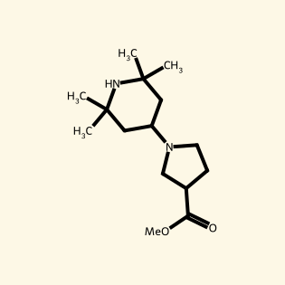 COC(=O)C1CCN(C2CC(C)(C)NC(C)(C)C2)C1